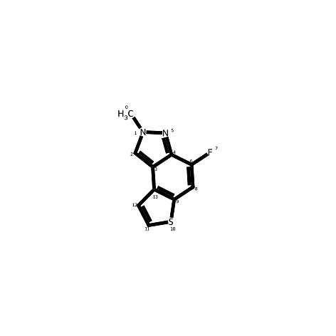 Cn1cc2c(n1)c(F)cc1sccc12